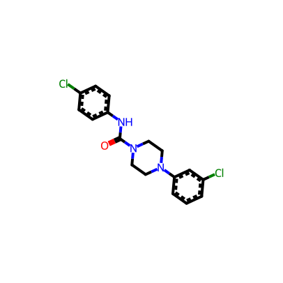 O=C(Nc1ccc(Cl)cc1)N1CCN(c2cccc(Cl)c2)CC1